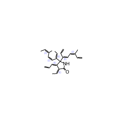 C=C/C=C1\C(=C/C)C(=O)NC1(/C(C=C)=C/C=C(/C)C=C)C(/C=C\C(C)=C/C)=C/C